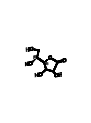 O=C1O[C@@H]([C@H](O)CO)C(O)C1O